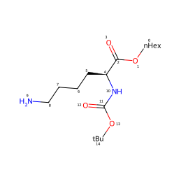 CCCCCCOC(=O)[C@H](CCCCN)NC(=O)OC(C)(C)C